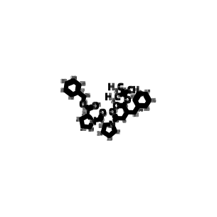 CC(C)(C)OC(=O)C(CC(=O)N1CCC[C@@H]1C(=O)N1CCC[C@H]1C(=O)OCc1ccccc1)Cc1ccccc1